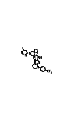 Cc1cc(N2C[C@H]3[C@H](Nc4nc5n(n4)CCCN5c4ccc(C(F)(F)F)cc4)C4CCC43C2)ncn1